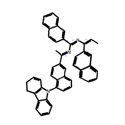 C/C=C(/N=C(\N=C(/C)c1ccc2c(-n3c4c(c5ccccc53)CCC=C4)cccc2c1)c1ccc2ccccc2c1)c1ccc2ccccc2c1